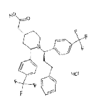 Cl.O=C(O)C[C@@H]1CCN([C@H](CCc2ccccc2)c2ccc(C(F)(F)F)cc2)[C@H](c2ccc(C(F)(F)F)cc2)C1